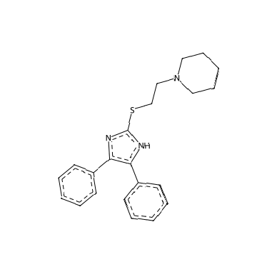 c1ccc(-c2nc(SCCN3CCCCC3)[nH]c2-c2ccccc2)cc1